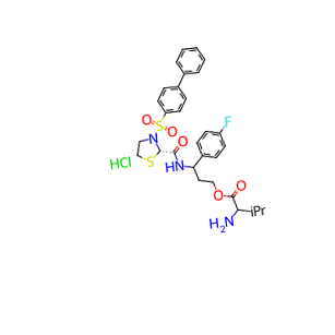 CC(C)C(N)C(=O)OCCC(NC(=O)[C@@H]1SCCN1S(=O)(=O)c1ccc(-c2ccccc2)cc1)c1ccc(F)cc1.Cl